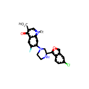 CCn1cc(C(=O)O)c(=O)c2cc(F)c(N3CCNC(c4occ5cc(Cl)ccc45)C3)cc21